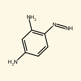 N=Nc1ccc(N)cc1N